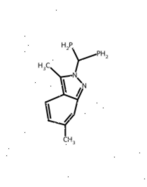 Cc1ccc2c(C)n(C(P)P)nc2c1